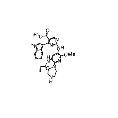 C=CC(=O)Nc1cc(Nc2ncc(C(=O)OC(C)C)c(-c3cn(C)c4ccccc34)n2)c(OC)nc1N1CCNCC1